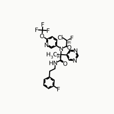 C[C@](C(=O)NCCc1cccc(F)c1)(c1cncnc1)N(C(=O)[C@H](F)Cl)c1ccc(OC(F)(F)F)nc1